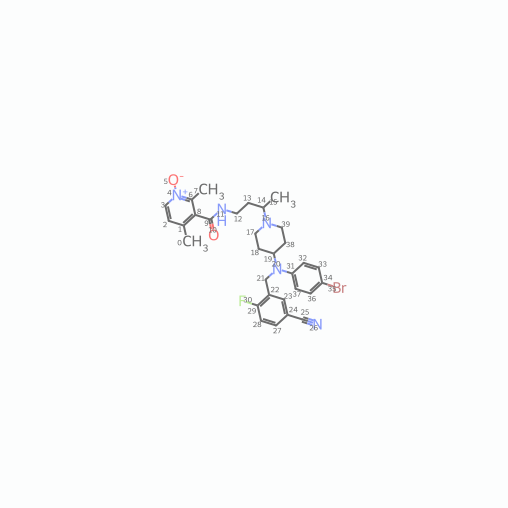 Cc1cc[n+]([O-])c(C)c1C(=O)NCCC(C)N1CCC(N(Cc2cc(C#N)ccc2F)c2ccc(Br)cc2)CC1